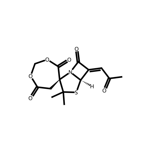 CC(=O)C=C1C(=O)N2[C@@H]1SC(C)(C)[C@@]21CC(=O)OCOC1=O